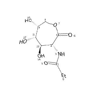 CCC(=O)N[C@H]1C(=O)OC[C@@H](O)[C@@H](O)[C@@H]1O